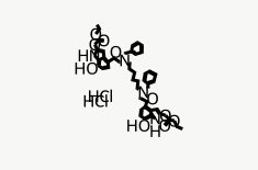 CCOC(=O)Oc1cc2c(C(=O)CN(CCCCCCN(CC(=O)c3ccc(O)c4[nH]c(OC(=O)OCC)cc34)Cc3ccccc3)Cc3ccccc3)ccc(O)c2[nH]1.Cl.Cl